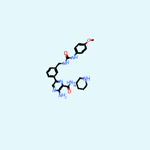 COc1ccc(NC(=O)NCc2cccc(-c3cnc(N)c(C(=O)N[C@H]4CCCNC4)n3)c2)cc1